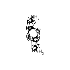 CP1(=O)OC[C@H]2OC(n3cnc4c(N)ncnc43)C(F)C2OP(=O)(O)OC[C@H]2O[C@@H](n3cnc4c(N)ncnc43)C(O1)C2O